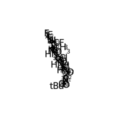 Cn1c(-c2cn(C3CC3(F)F)nc2C(F)(F)F)cnc1C(=O)Nc1ccc(C(=O)NC2[C@H]3CN(C(=O)C4CCN(C(=O)OC(C)(C)C)CC4)C[C@@H]23)c(Cl)c1